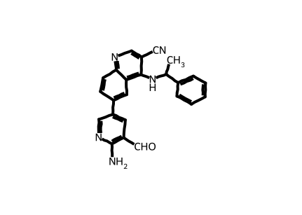 CC(Nc1c(C#N)cnc2ccc(-c3cnc(N)c(C=O)c3)cc12)c1ccccc1